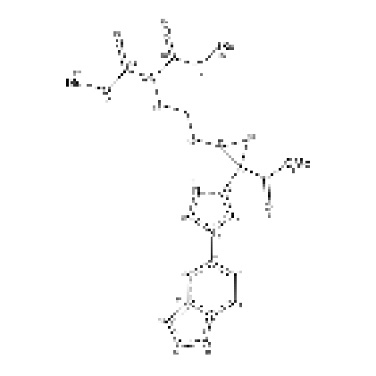 COC(=O)C1(c2cn(-c3ccc4occc4c3)cn2)CC1CCCN(C(=O)OC(C)(C)C)C(=O)OC(C)(C)C